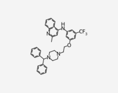 Cc1cc(Nc2cc(OCCN3CCN(C(c4ccccc4)c4ccccc4)CC3)cc(C(F)(F)F)c2)c2ccccc2n1